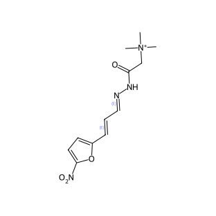 C[N+](C)(C)CC(=O)N/N=C/C=C/c1ccc([N+](=O)[O-])o1